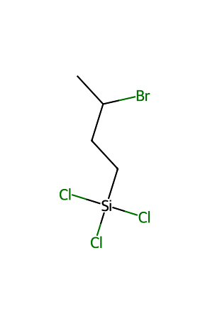 CC(Br)CC[Si](Cl)(Cl)Cl